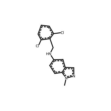 Cn1ncc2cc(NCc3c(Cl)cccc3Cl)ccc21